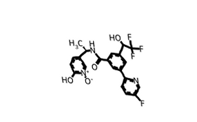 C[C@@H](NC(=O)c1cc(-c2ccc(F)cn2)cc(C(O)C(F)(F)F)c1)c1ccc(O)[n+]([O-])c1